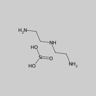 NCCNCCN.O=[Si](O)O